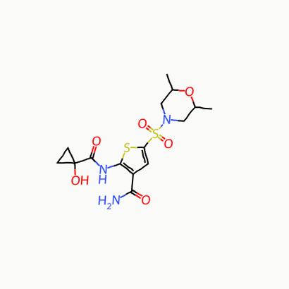 CC1CN(S(=O)(=O)c2cc(C(N)=O)c(NC(=O)C3(O)CC3)s2)CC(C)O1